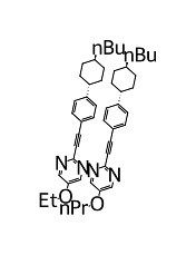 CCCC[C@H]1CC[C@H](c2ccc(C#Cc3ncc(OCC)cn3)cc2)CC1.CCCC[C@H]1CC[C@H](c2ccc(C#Cc3ncc(OCCC)cn3)cc2)CC1